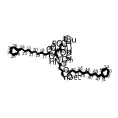 CCCCCCCCCCCC(CC(=O)N[C@@H](CO[SiH](C)C)[C@@H](OC(=O)CCCCCCCCc1ccccc1)[C@H](OS(=O)(=O)O)[C@H](O)COC(C)(C)C)OC(=O)CCCCCCCCc1ccccc1